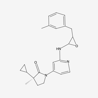 Cc1cccc(CC2OC2Nc2cc(N3CC[C@@](C)(C4CC4)C3=O)ccn2)c1